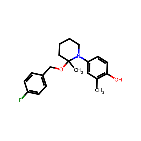 Cc1cc(N2CCCCC2(C)OCc2ccc(F)cc2)ccc1O